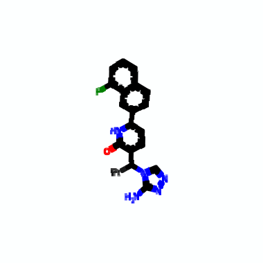 CC(C)C(c1ccc(-c2ccc3cccc(F)c3c2)[nH]c1=O)n1cnnc1N